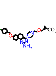 Nc1nc2c(c(N3CCN(CCOCC4CC4C(=O)O)CC3)n1)CCc1cc(OCc3ccc(Cl)cc3)ccc1-2